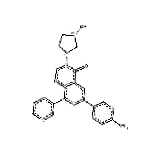 O=c1c2cc(-c3ccc(C(F)(F)F)nc3)nc(-c3cccnc3)c2ncn1[C@@H]1CC[C@H](O)C1